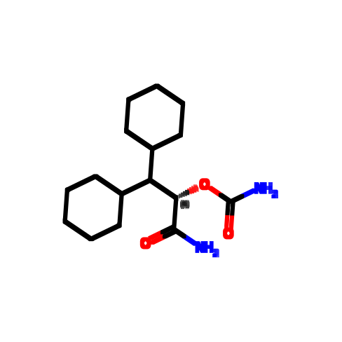 NC(=O)O[C@H](C(N)=O)C(C1CCCCC1)C1CCCCC1